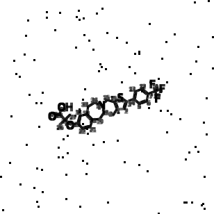 Cc1cc(-c2ccc(C(F)(F)F)cc2)sc1CN1CCc2ccc(OC(C)(C)C(=O)O)cc2CC1